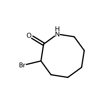 O=C1NCCCCCC1Br